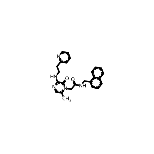 Cc1cnc(NCCc2ccccn2)c(=O)n1CC(=O)NCc1cccc2ccccc12